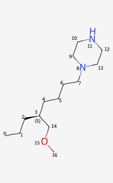 CCC[C@@H](CCCCN1CCNCC1)COC